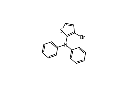 Brc1ccsc1N(c1ccccc1)c1ccccc1